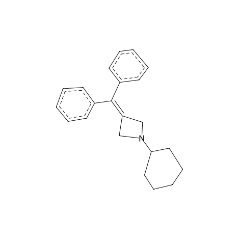 c1ccc(C(=C2CN(C3CCCCC3)C2)c2ccccc2)cc1